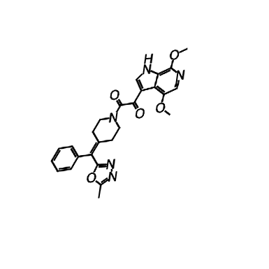 COc1ncc(OC)c2c(C(=O)C(=O)N3CCC(=C(c4ccccc4)c4nnc(C)o4)CC3)c[nH]c12